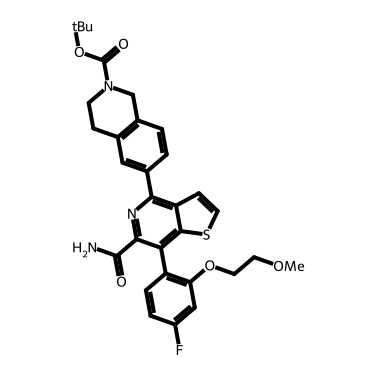 COCCOc1cc(F)ccc1-c1c(C(N)=O)nc(-c2ccc3c(c2)CCN(C(=O)OC(C)(C)C)C3)c2ccsc12